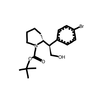 CC(C)(C)OC(=O)N1CCCC[C@@H]1[C@H](CO)c1ccc(Br)cc1